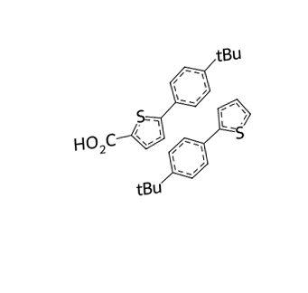 CC(C)(C)c1ccc(-c2ccc(C(=O)O)s2)cc1.CC(C)(C)c1ccc(-c2cccs2)cc1